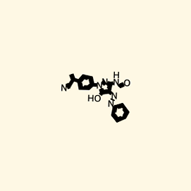 C=C(C#N)c1ccc(-n2nc(NC=O)c(N=Nc3ccccc3)c2O)cc1